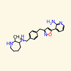 CC1NCCCCC1NCc1ccc(Cc2cc(-c3cccnc3N)on2)cc1